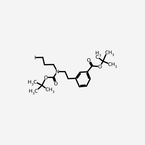 CC(C)(C)OC(=O)c1cccc(CCN(CCCI)C(=O)OC(C)(C)C)c1